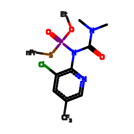 CCCSP(=O)(OCC)N(C(=O)N(C)C)c1ncc(C(F)(F)F)cc1Cl